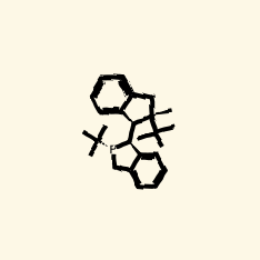 CC(C)(C)[P@@]1Cc2ccccc2[C@@H]1[C@H]1c2ccccc2C[C@]1(C)C(C)(C)C